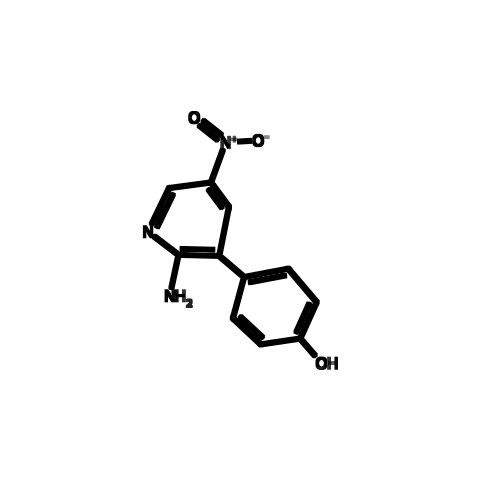 Nc1ncc([N+](=O)[O-])cc1-c1ccc(O)cc1